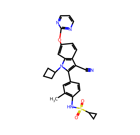 Cc1cc(-c2c(C#N)c3ccc(Oc4ncccn4)cc3n2C2CCC2)ccc1NS(=O)(=O)C1CC1